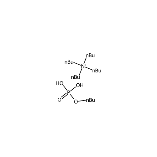 CCCCOP(=O)(O)O.CCCC[N+](CCCC)(CCCC)CCCC